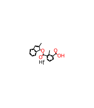 CC1=Cc2ccccc2C1OC(=O)c1cccc(C(=O)O)c1C.[Hf]